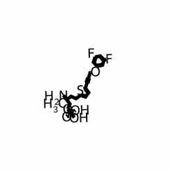 CC(N)(CCc1ccc(C#CCOc2cc(F)cc(F)c2)s1)COP(=O)(O)O